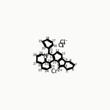 [Cl-].[Cl-].[Cr+2][C]1=C2C=CC=CC2c2ccc(Cc3ccccc3)c(-c3cccc4cccnc34)c21